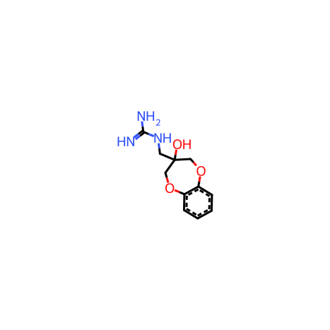 N=C(N)NCC1(O)COc2ccccc2OC1